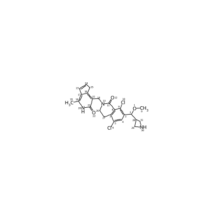 COC(c1cc(Cl)c2c(c1Cl)C(=O)N(Cc1c3c(c(C)[nH]c1=O)C=CC3)CC2)C1CNC1